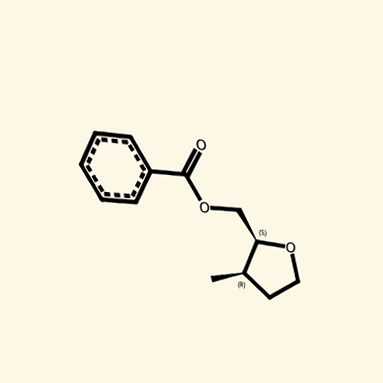 C[C@@H]1CCO[C@@H]1COC(=O)c1ccccc1